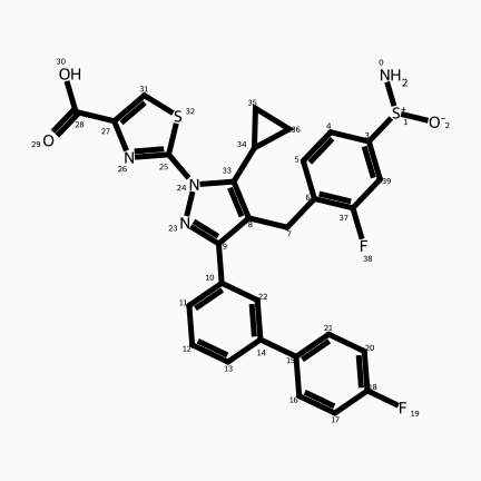 N[S+]([O-])c1ccc(Cc2c(-c3cccc(-c4ccc(F)cc4)c3)nn(-c3nc(C(=O)O)cs3)c2C2CC2)c(F)c1